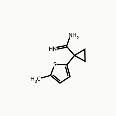 Cc1ccc(C2(C(=N)N)CC2)s1